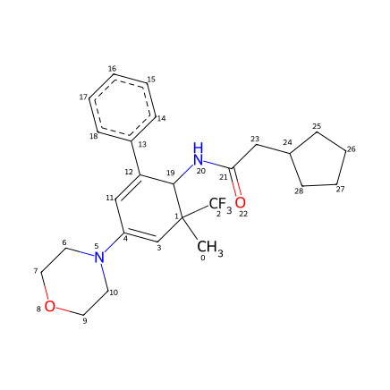 CC1(C(F)(F)F)C=C(N2CCOCC2)C=C(c2ccccc2)C1NC(=O)CC1CCCC1